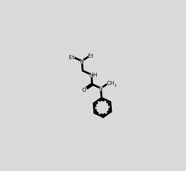 CCN(CC)CNC(=O)N(C)c1ccccc1